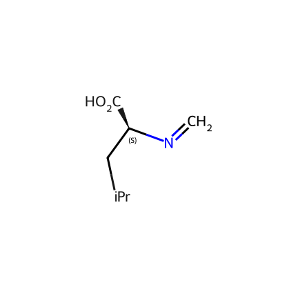 C=N[C@@H](CC(C)C)C(=O)O